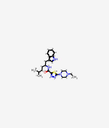 CCN1CCN(c2nnc(C(=O)NC(CCC(C)C)Cc3c[nH]c4ccccc34)s2)CC1